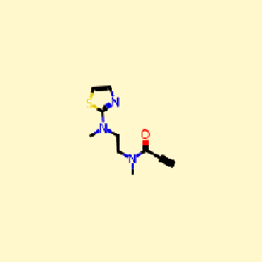 C#CC(=O)N(C)CCN(C)c1nccs1